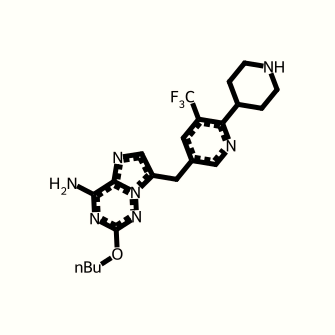 CCCCOc1nc(N)c2ncc(Cc3cnc(C4CCNCC4)c(C(F)(F)F)c3)n2n1